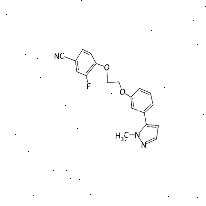 Cn1nccc1-c1cccc(OCCOc2ccc(C#N)cc2F)c1